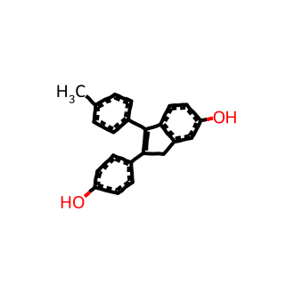 Cc1ccc(C2=C(c3ccc(O)cc3)Cc3cc(O)ccc32)cc1